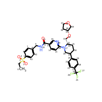 CCS(=O)(=O)c1ccc(CNC(=O)c2ccc(N3CC(c4ccc(C(F)(F)F)cc4)CC[C@H]3CO[C@@H]3CCOC3)nc2)cc1